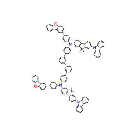 CC1(C)c2cc(N(c3ccc(-c4cccc(-c5cccc(-c6ccc(N(c7ccc(-c8ccc9oc%10ccccc%10c9c8)cc7)c7ccc8c(c7)C(C)(C)c7cc(-n9c%10ccccc%10c%10ccccc%109)ccc7-8)cc6)c5)c4)cc3)c3ccc(-c4ccc5oc6ccccc6c5c4)cc3)ccc2-c2ccc(-n3c4ccccc4c4ccccc43)cc21